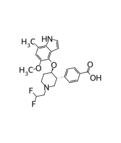 COc1cc(C)c2[nH]ccc2c1O[C@@H]1CCN(CC(F)F)C[C@H]1c1ccc(C(=O)O)cc1